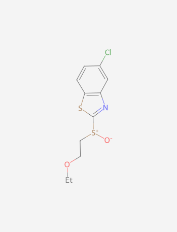 CCOCC[S+]([O-])c1nc2cc(Cl)ccc2s1